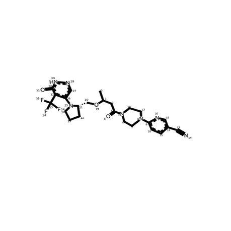 CC(CC(=O)N1CCN(c2ccc(C#N)cn2)CC1)OC[C@@H]1CCCN1c1cn[nH]c(=O)c1C(F)(F)F